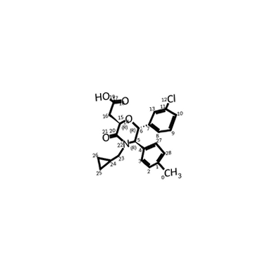 Cc1ccc([C@@H]2[C@@H](c3cccc(Cl)c3)O[C@H](CC(=O)O)C(=O)N2CC2CC2)cc1